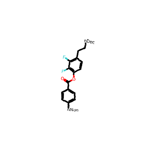 CCCCCCCCCCCCc1ccc(OC(=O)c2ccc(CCCCCCCCC)cc2)c(F)c1F